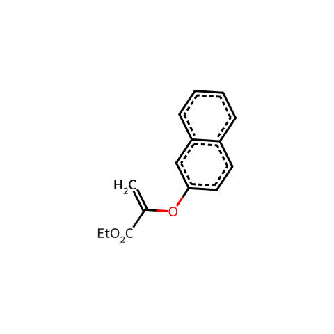 C=C(Oc1ccc2ccccc2c1)C(=O)OCC